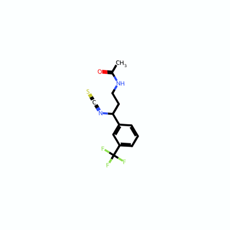 CC(=O)NCCC(N=C=S)c1cccc(C(F)(F)F)c1